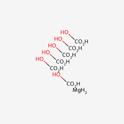 O=C(O)O.O=C(O)O.O=C(O)O.O=C(O)O.O=C(O)O.O=C(O)O.[MgH2]